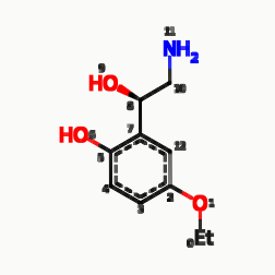 CCOc1ccc(O)c([C@@H](O)CN)c1